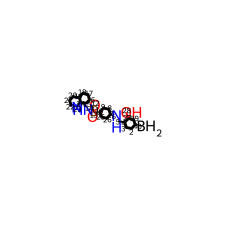 Bc1ccc(CNc2ccc(S(=O)(=O)Nc3cccc4cccnc34)cc2)c(O)c1